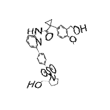 COc1ccc(C2(C(=O)Nc3cccc(-c4ccc(S(=O)(=O)N5CCC[C@@H]5CO)cc4)n3)CC2)cc1CO